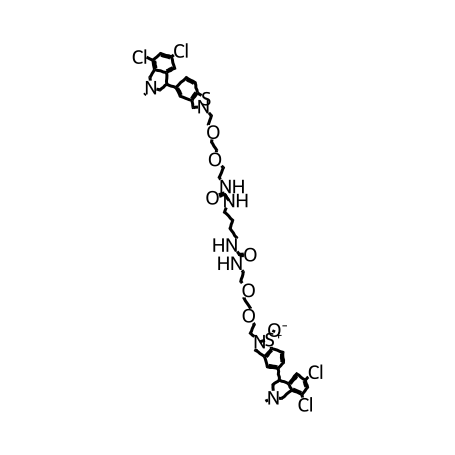 CN1Cc2c(Cl)cc(Cl)cc2C(c2ccc3c(c2)CN(CCOCCOCCNC(=O)NCCCCNC(=O)NCCOCCOCCN2Cc4cc(C5CN(C)Cc6c(Cl)cc(Cl)cc65)ccc4[S+]2[O-])S3)C1